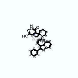 CCC1(/C(=C/C(=O)O)C(=O)O)CCCCN1C(=O)C=Cc1c(-c2ccccc2)nn2cccc(C)c12